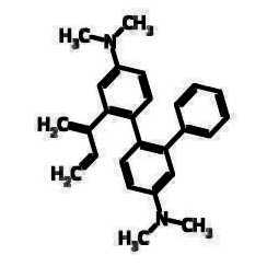 C=CC(=C)c1cc(N(C)C)ccc1-c1ccc(N(C)C)cc1-c1ccccc1